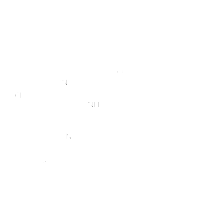 Clc1cc(Cl)c2nc(COCc3ccccc3)[nH]c2n1